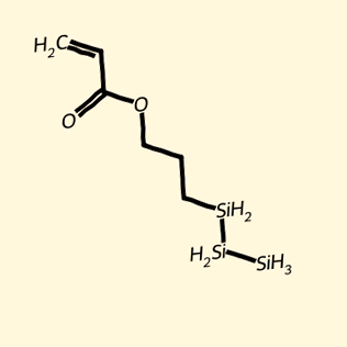 C=CC(=O)OCCC[SiH2][SiH2][SiH3]